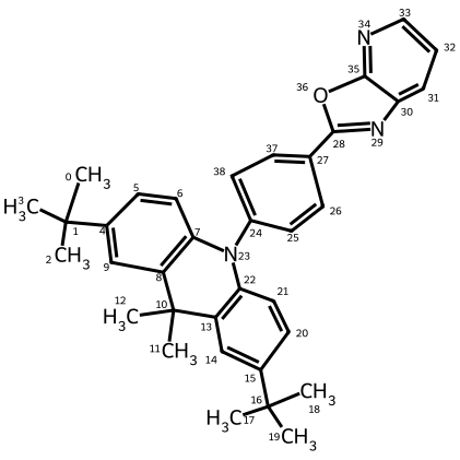 CC(C)(C)c1ccc2c(c1)C(C)(C)c1cc(C(C)(C)C)ccc1N2c1ccc(-c2nc3cccnc3o2)cc1